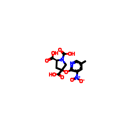 Cc1cnc(OC2(C(=O)O)C[C@@H](C(=O)O)N(C(=O)O)C2)c([N+](=O)[O-])c1